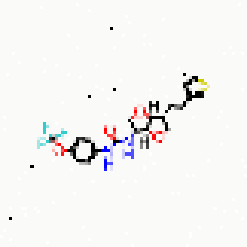 O=C(Nc1ccc(OC(F)(F)F)cc1)N[C@H]1CO[C@@H]2[C@@H](CCc3ccsc3)CO[C@@H]21